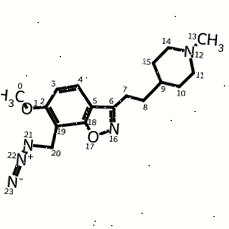 COc1ccc2c(CCC3CCN(C)CC3)noc2c1CN=[N+]=[N-]